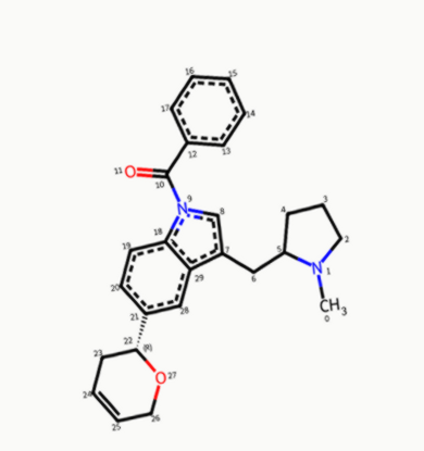 CN1CCCC1Cc1cn(C(=O)c2ccccc2)c2ccc([C@H]3CC=CCO3)cc12